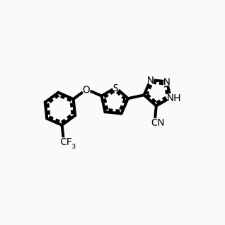 N#Cc1[nH]nnc1-c1ccc(Oc2cccc(C(F)(F)F)c2)s1